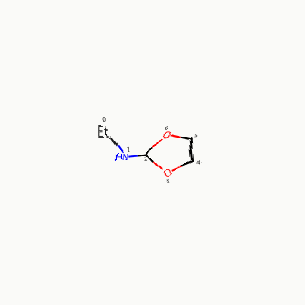 CCNC1OCCO1